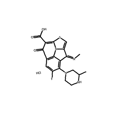 CN=c1c2c(N3CCNC(C)C3)c(F)cc3c(=O)c(C(=O)O)c4scc1n4c32.Cl